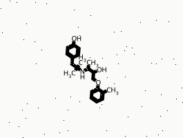 Cc1ccccc1OCC(O)C(C)NC(C)(C)Cc1ccc(O)cc1